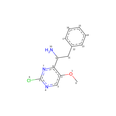 COc1cnc(Cl)nc1C(N)Cc1ccccc1